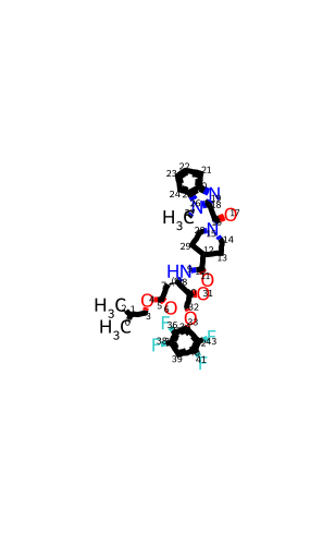 CC(C)COC(=O)C[C@H](NC(=O)C1CCN(C(=O)c2nc3ccccc3n2C)CC1)C(=O)COc1c(F)c(F)cc(F)c1F